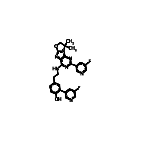 CC1(C)COc2nc3c(NCCc4ccc(O)c(-c5cncc(F)c5)c4)nc(-c4cncc(F)c4)nc3n21